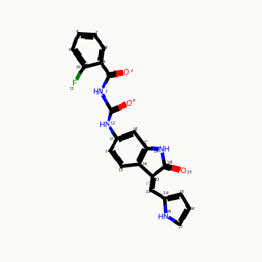 O=C(NC(=O)c1ccccc1F)Nc1ccc2c(c1)NC(=O)/C2=C\c1ccc[nH]1